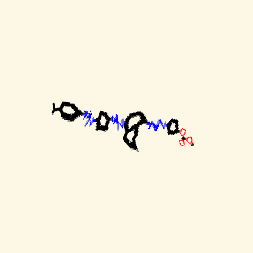 COC(=O)Oc1ccc(/N=N/c2ccc(/N=N/c3ccc(/N=N/c4ccc(C(C)C)cc4)cc3)c3ccccc23)cc1